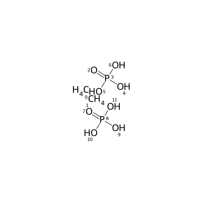 C.C.O=P(O)(O)O.O=P(O)(O)O